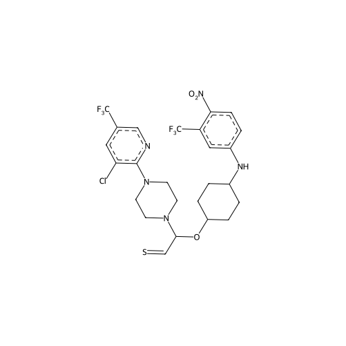 O=[N+]([O-])c1ccc(NC2CCC(OC(C=S)N3CCN(c4ncc(C(F)(F)F)cc4Cl)CC3)CC2)cc1C(F)(F)F